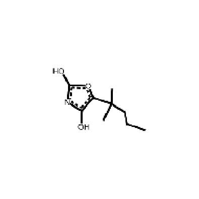 CCCC(C)(C)c1oc(O)nc1O